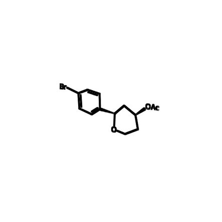 CC(=O)O[C@H]1CCO[C@@H](c2ccc(Br)cc2)C1